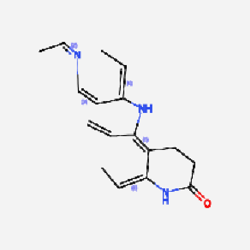 C=C/C(NC(/C=C\N=C/C)=C/C)=C1/CCC(=O)N/C1=C/C